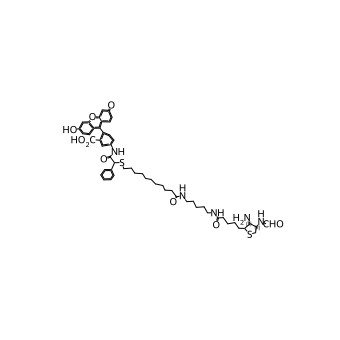 N[C@@H]1C(CCCCC(=O)NCCCCCNC(=O)CCCCCCCCCCSC(C(=O)Nc2ccc(-c3c4ccc(=O)cc-4oc4cc(O)ccc34)c(C(=O)O)c2)c2ccccc2)SC[C@@H]1NC=O